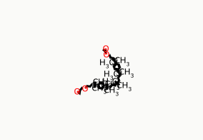 CC(C)(CCC[Si](C)(C)c1ccc([Si](C)(C)CCCOCC2CO2)cc1)CCC[Si](C)(C)c1ccc([Si](C)(C)CCCOC2CO2)cc1